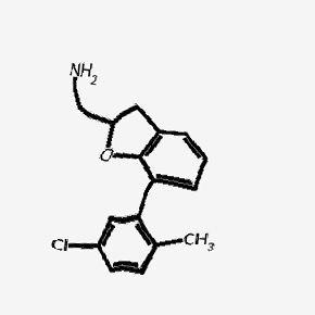 Cc1ccc(Cl)cc1-c1cccc2c1OC(CN)C2